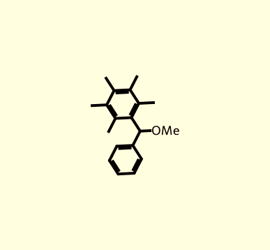 COC(c1ccccc1)c1c(C)c(C)c(C)c(C)c1C